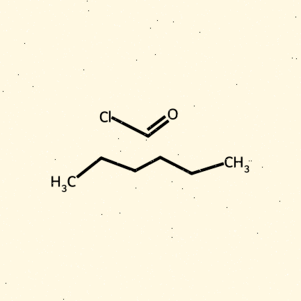 CCCCCC.O=CCl